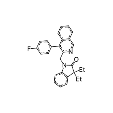 CCC1(CC)C(=O)N(Cc2ncc3ccccc3c2-c2ccc(F)cc2)c2ccccc21